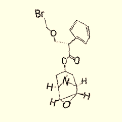 CN1[C@@H]2C[C@@H](OC(=O)[C@H](COCBr)c3ccccc3)C[C@H]1[C@@H]1O[C@@H]12